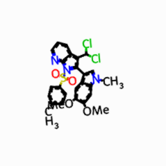 COc1cc2c(-c3c(C(Cl)Cl)c4cccnc4n3S(=O)(=O)c3ccc(C)cc3)cn(C)c2cc1OC